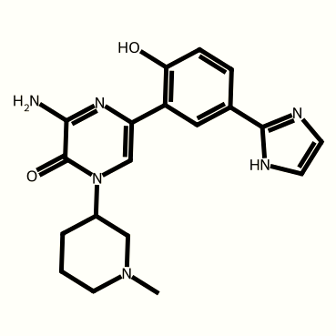 CN1CCCC(n2cc(-c3cc(-c4ncc[nH]4)ccc3O)nc(N)c2=O)C1